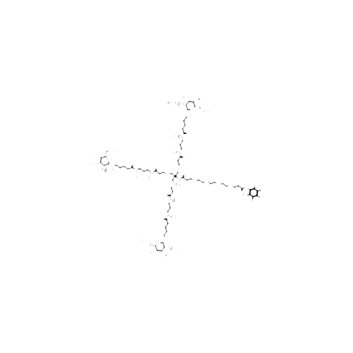 CC(=O)N[C@H]1[C@H](OCCCCC(=O)NCCCNC(=O)CCOCC(COCCC(=O)NCCCNC(=O)CCCCO[C@@H]2O[C@H](CO)[C@H](O)[C@H](O)[C@H]2NC(C)=O)(COCCC(=O)NCCCNC(=O)CCCCO[C@@H]2O[C@H](CO)[C@H](O)[C@H](O)[C@H]2NC(C)=O)NC(=O)CCOCCOCCOCCOCCC(=O)Oc2c(F)c(F)c(F)c(F)c2F)O[C@H](CO)[C@H](O)[C@@H]1O